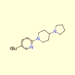 CC(C)(C)c1ccc(N2CCC(N3CCCC3)CC2)nc1